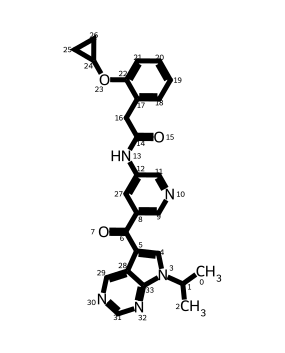 CC(C)n1cc(C(=O)c2cncc(NC(=O)Cc3ccccc3OC3CC3)c2)c2cncnc21